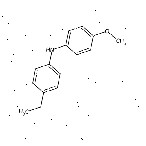 CCc1ccc(Nc2ccc(OC)cc2)cc1